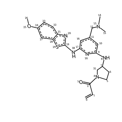 C=CC(=O)N1CCC(Nc2cc(CN(C)C)cc(Nc3nc4ccc(OC)cc4s3)n2)C1